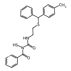 Cc1ccc(C(SCCNC(=O)N(S)C(=O)c2ccccc2)c2ccccc2)cc1